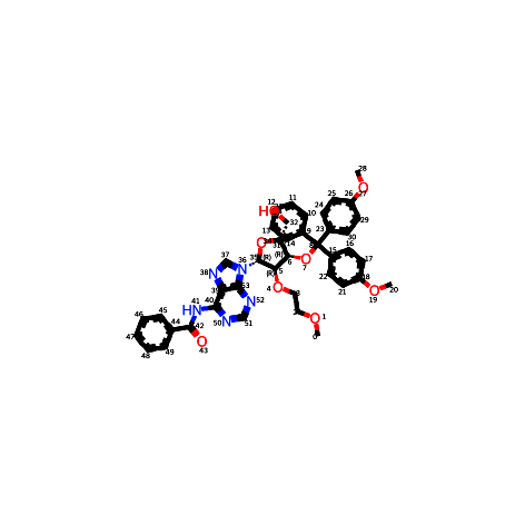 COCCO[C@@H]1[C@H](OC(c2ccccc2)(c2ccc(OC)cc2)c2ccc(OC)cc2)[C@@H](CO)O[C@H]1n1cnc2c(NC(=O)c3ccccc3)ncnc21